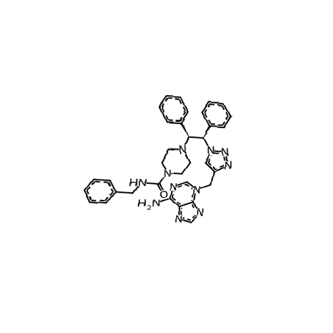 Nc1ncn(Cc2cn([C@H](c3ccccc3)[C@H](c3ccccc3)N3CCN(C(=O)NCc4ccccc4)CC3)nn2)c2ncnc1-2